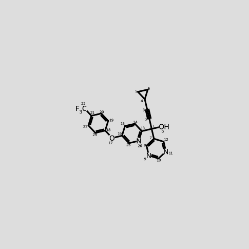 OC(C#CC1CC1)(c1cncnc1)c1ccc(Oc2ccc(C(F)(F)F)cc2)cn1